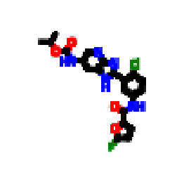 CC(C)OC(=O)Nc1cnc2nc(-c3cc(NC(=O)c4ccc(F)o4)ccc3Cl)[nH]c2c1